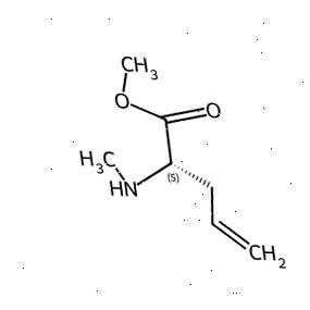 C=CC[C@H](NC)C(=O)OC